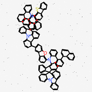 c1ccc(-c2cccc3ccccc23)c(-c2ccccc2N(c2cccc3c2-c2ccccc2C32c3ccccc3-n3c4ccccc4c4cccc2c43)c2cccc3c2oc2ccc(-c4cccc5c4c4cccc6c4n5-c4ccccc4C64c5ccccc5-c5c(N(c6ccccc6-c6ccccc6-c6cccc7ccccc67)c6cccc7c6sc6ccccc67)cccc54)cc23)c1